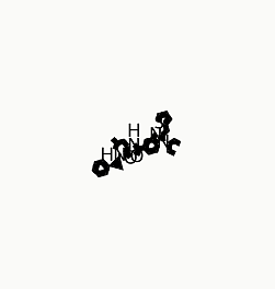 CCC(CC)n1c(Cc2cccs2)nc2cc(C(=O)NC(CC(C)C)C(=O)N[C@H]3C[C@@H]3c3ccccc3)ccc21